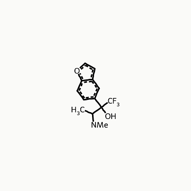 CNC(C)C(O)(c1ccc2occc2c1)C(F)(F)F